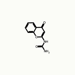 NC(=O)Nc1cc(=O)c2ccccc2o1